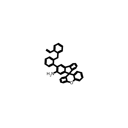 C=Cc1ccccc1Cc1ccccc1-c1cc2c(cc1N)C1(c3ccccc3Oc3ccccc31)c1ccccc1-2